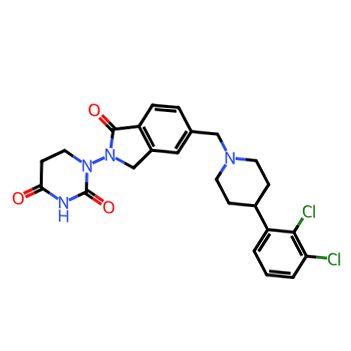 O=C1CCN(N2Cc3cc(CN4CCC(c5cccc(Cl)c5Cl)CC4)ccc3C2=O)C(=O)N1